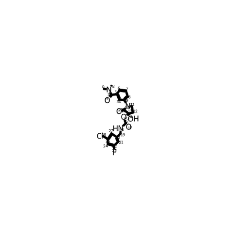 CN(C)C(=O)c1cccc(N2CCC(O)(OC(=O)NCc3cc(F)cc(Cl)c3)C2=O)c1